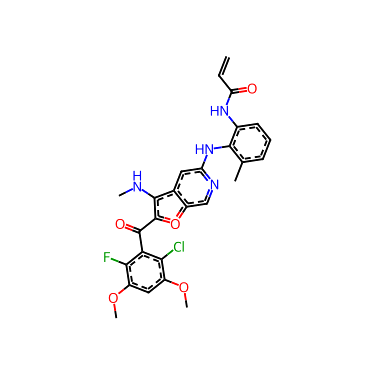 C=CC(=O)Nc1cccc(C)c1Nc1cc2c(NC)c(C(=O)c3c(F)c(OC)cc(OC)c3Cl)oc2cn1